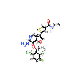 CCCNC(=O)c1csc(-c2coc3c(O[C@H](C)c4c(Cl)ccc(F)c4Cl)c(N)ncc23)c1